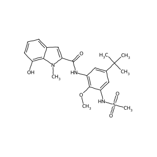 COc1c(NC(=O)c2cc3cccc(O)c3n2C)cc(C(C)(C)C)cc1NS(C)(=O)=O